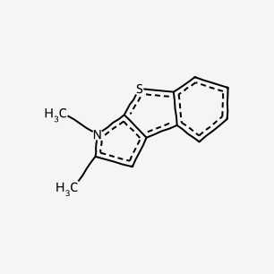 Cc1cc2c3ccccc3sc2n1C